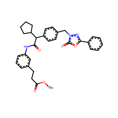 CC(C)(C)OC(=O)CCc1cccc(NC(=O)C(c2ccc(Cn3nc(-c4ccccc4)oc3=O)cc2)C2CCCC2)c1